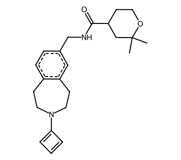 CC1(C)CC(C(=O)NCc2ccc3c(c2)CCN(C2=CC=C2)CC3)CCO1